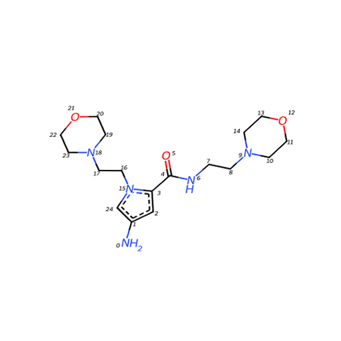 Nc1cc(C(=O)NCCN2CCOCC2)n(CCN2CCOCC2)c1